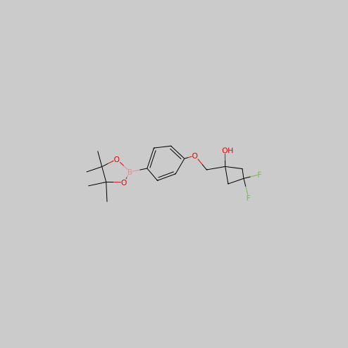 CC1(C)OB(c2ccc(OCC3(O)CC(F)(F)C3)cc2)OC1(C)C